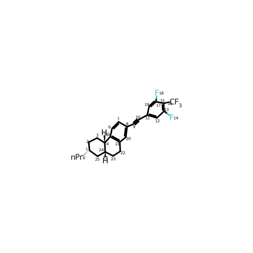 CCC[C@@H]1CC[C@@H]2c3ccc(C#Cc4cc(F)c(C(F)(F)F)c(F)c4)cc3CC[C@@H]2C1